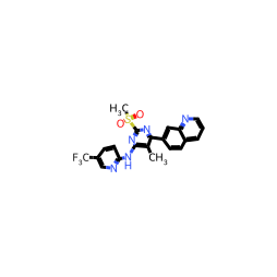 Cc1c(Nc2ccc(C(F)(F)F)cn2)nc(S(C)(=O)=O)nc1-c1ccc2cccnc2c1